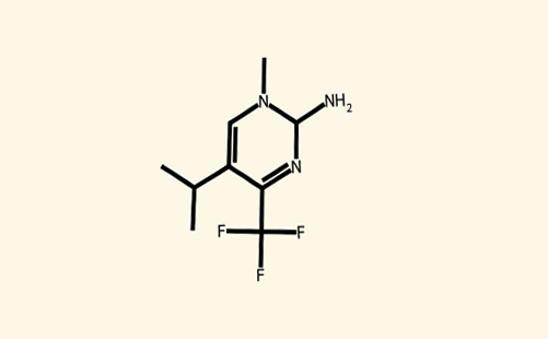 CC(C)C1=CN(C)C(N)N=C1C(F)(F)F